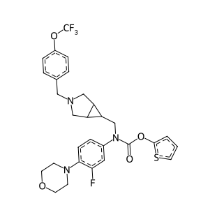 O=C(Oc1cccs1)N(CC1C2CN(Cc3ccc(OC(F)(F)F)cc3)CC21)c1ccc(N2CCOCC2)c(F)c1